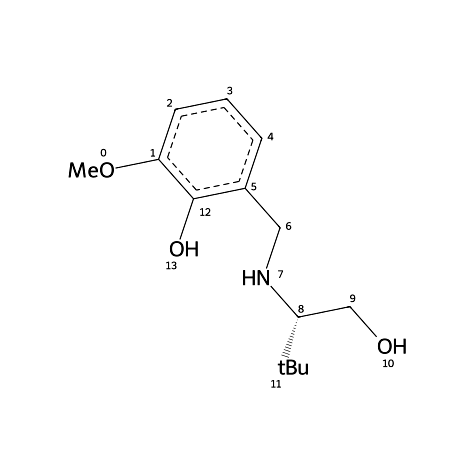 COc1cccc(CN[C@H](CO)C(C)(C)C)c1O